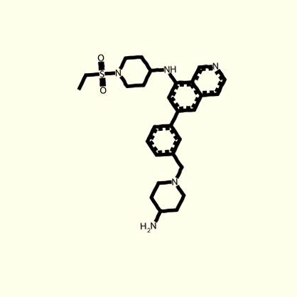 CCS(=O)(=O)N1CCC(Nc2cc(-c3cccc(CN4CCC(N)CC4)c3)cc3ccncc23)CC1